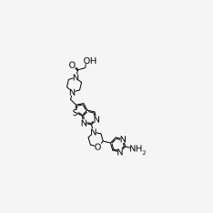 Nc1ncc(C2CN(c3ncc4cc(CN5CCN(C(=O)CO)CC5)sc4n3)CCO2)cn1